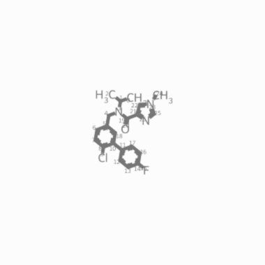 CC(C)N(Cc1ccc(Cl)c(-c2ccc(F)cc2)c1)C(=O)c1cn(C)cn1